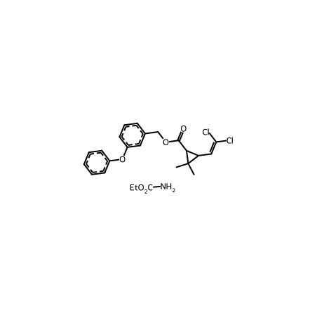 CC1(C)C(C=C(Cl)Cl)C1C(=O)OCc1cccc(Oc2ccccc2)c1.CCOC(N)=O